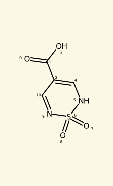 O=C(O)C1=CNS(=O)(=O)N=C1